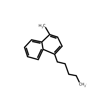 [CH2]CCCCc1ccc(C)c2ccccc12